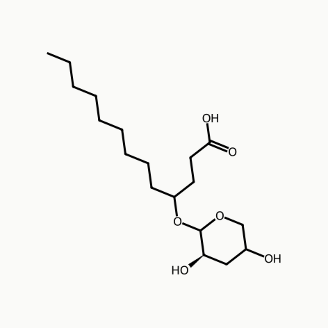 CCCCCCCCCC(CCC(=O)O)OC1OCC(O)C[C@H]1O